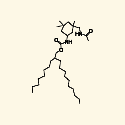 CCCCCCCCCCC(CCCCCCCC)COC(=O)NC1CC(C)(C)CC(C)(CNC(C)=O)C1